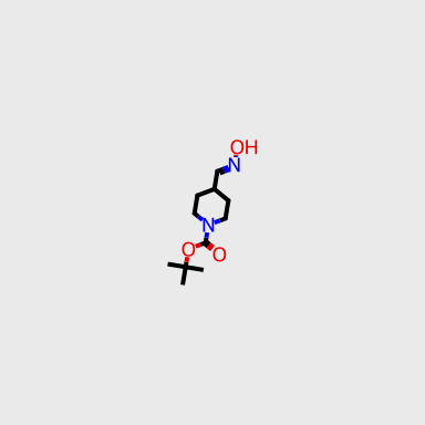 CC(C)(C)OC(=O)N1CCC(C=NO)CC1